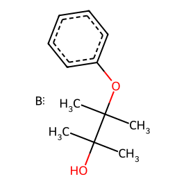 CC(C)(O)C(C)(C)Oc1ccccc1.[B]